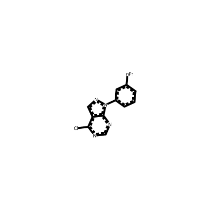 CCCc1cccc(-n2ncc3c(Cl)ncnc32)c1